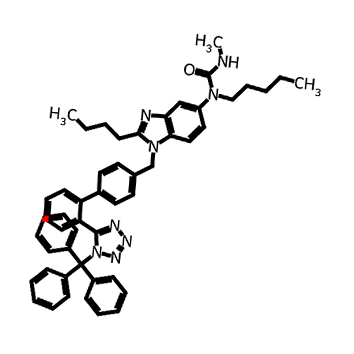 CCCCCN(C(=O)NC)c1ccc2c(c1)nc(CCCC)n2Cc1ccc(-c2ccccc2-c2nnnn2C(c2ccccc2)(c2ccccc2)c2ccccc2)cc1